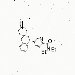 CCN(CC)C(=O)c1ccc(C2CC3(CCNCC3)Cc3ccccc32)cn1